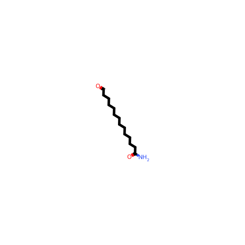 NC(=O)CCCCCCCCCCCC[C]=O